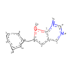 c1ccc(-c2cc3cncnc3o2)cc1